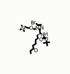 CCC(=O)CCCCC[C@H](NC(=O)OC(C)(C)C)c1ncc(Br)n1COCC[Si](C)(C)C